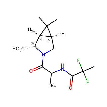 CC(F)(F)C(=O)NC(C(=O)N1C[C@H]2[C@@H]([C@H]1C(=O)O)C2(C)C)C(C)(C)C